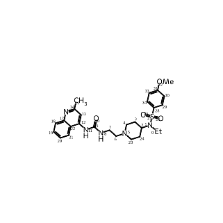 CCN(C1CCN(CCNC(=O)Nc2cc(C)nc3ccccc23)CC1)S(=O)(=O)c1ccc(OC)cc1